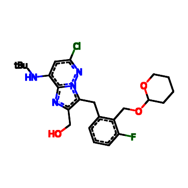 CC(C)(C)Nc1cc(Cl)nn2c(Cc3cccc(F)c3COC3CCCCO3)c(CO)nc12